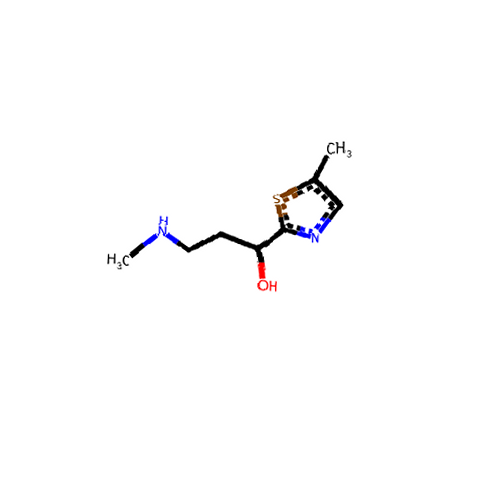 CNCCC(O)c1ncc(C)s1